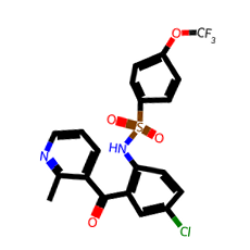 Cc1ncccc1C(=O)c1cc(Cl)ccc1NS(=O)(=O)c1ccc(OC(F)(F)F)cc1